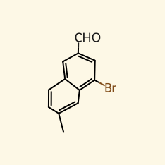 Cc1ccc2cc(C=O)cc(Br)c2c1